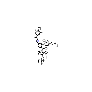 Cc1cc(C(C)/C=C/c2ccc(C(=O)NC3(C(=O)NCC(F)(F)F)CCC3)c(-n3ccc(N)nc3=O)c2)cc(C)c1Cl